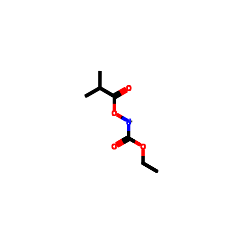 CCOC(=O)[N]OC(=O)C(C)C